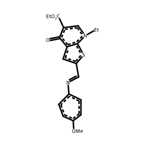 CCOC(=O)c1cn(CC)c2sc(C=Nc3ccc(OC)cc3)cc2c1=O